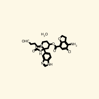 COC(=O)NC1(c2ccc3[nH]cnc3c2)CC(OC(=O)c2cc(Cl)c(N)c3c2OCC3)CCN1CCCC=O.O